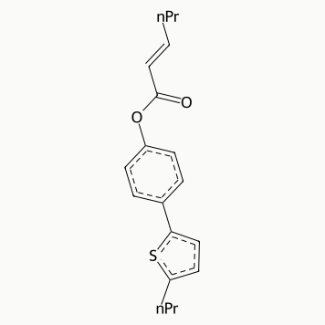 CCCC=CC(=O)Oc1ccc(-c2ccc(CCC)s2)cc1